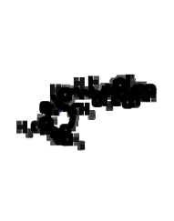 Cc1cc2cc(n1)-c1cnn(C)c1OCCC[C@@H](C)CN1/C(=N/C2=O)Nc2ccc(CNCCNC(=O)C3CN(c4ccc(F)c5c4n(C)c(=O)n5C4CCC(=O)NC4=O)C3)cc21